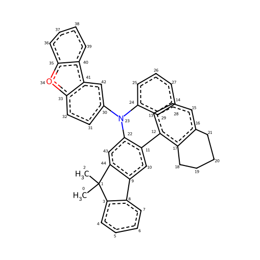 CC1(C)c2ccccc2-c2cc(-c3cccc4c3CCCC4)c(N(c3ccccc3)c3ccc4oc5ccccc5c4c3)cc21